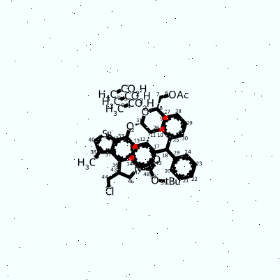 CC(=O)O.CC(=O)O.CC(=O)O.CC(=O)OC[C@H]1CC[C@H](c2ccccc2C(c2ccccc2)c2ccccc2)[C@H](Oc2cc3c(c4c(C)csc24)C(CCl)CN3C(=O)OC(C)(C)C)O1